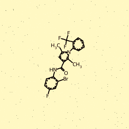 Cc1cc(C(=O)Nc2ccc(F)cc2Br)c(C)n1-c1ccccc1C(F)(F)F